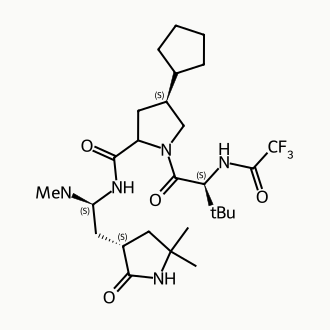 CN[C@H](C[C@@H]1CC(C)(C)NC1=O)NC(=O)C1C[C@@H](C2CCCC2)CN1C(=O)[C@@H](NC(=O)C(F)(F)F)C(C)(C)C